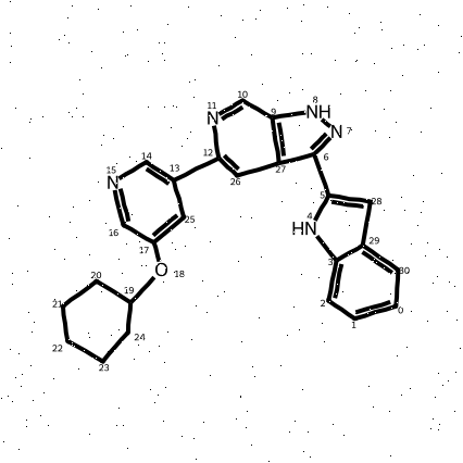 c1ccc2[nH]c(-c3n[nH]c4cnc(-c5cncc(OC6CCCCC6)c5)cc34)cc2c1